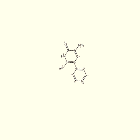 CCCc1[nH]c(=O)c(N)cc1-c1ccncc1